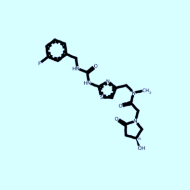 CN(Cc1csc(NC(=O)NCc2cccc(F)c2)n1)C(=O)CN1C[C@@H](O)CC1=O